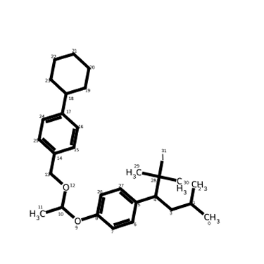 CC(C)CC(c1ccc(OC(C)OCc2ccc(C3CCCCC3)cc2)cc1)C(C)(C)I